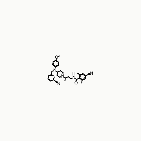 COc1ccc(N(Cc2cccc(C#N)n2)C2CCN(C(C)CCNC(=O)c3c(C)cc(C#N)cc3C)CC2)cc1